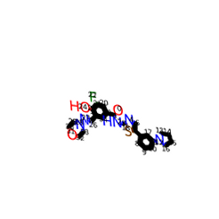 O=C(Nc1ncc(-c2cccc(N3CCCC3)c2)s1)c1cc(F)c(O)c(/C=N/N2CCOCC2)c1